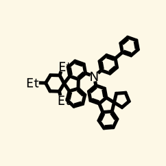 CCC1CC(CC)C2(c3ccccc3-c3c(N(c4ccc(-c5ccccc5)cc4)c4ccc5c(c4)C4(CCCC4)c4ccccc4-5)cccc32)C(CC)C1